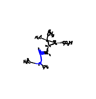 CN(C)N=C[C@H]1[C@@H](C(=O)O)C1(C)C